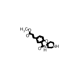 COC(=O)C=Cc1ccc2c(c1)C(=O)NC1(CCNCC1)O2